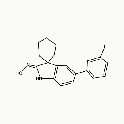 O/N=C1\Nc2ccc(-c3cccc(F)c3)cc2C12CCCCC2